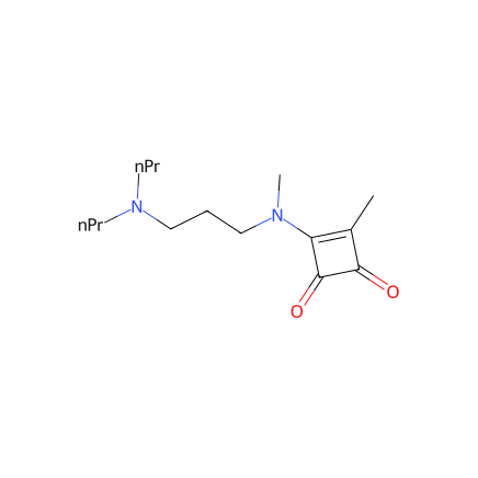 CCCN(CCC)CCCN(C)c1c(C)c(=O)c1=O